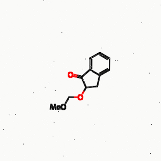 COCOC1Cc2ccccc2C1=O